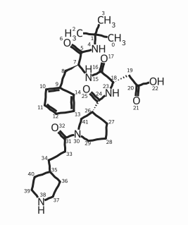 CC(C)(C)NC(=O)[C@H](Cc1ccccc1)NC(=O)[C@H](CC(=O)O)NC(=O)[C@@H]1CCCN(C(=O)CCC2CCNCC2)C1